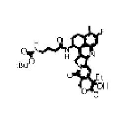 CCC1(O)C(=O)OCc2c1cc1n(c2=O)Cc2c-1nc1cc(F)c(C)c3c1c2C(NC(=O)CCCNC(=O)OC(C)(C)C)CC3